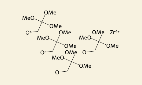 COC(C[O-])(OC)OC.COC(C[O-])(OC)OC.COC(C[O-])(OC)OC.COC(C[O-])(OC)OC.[Zr+4]